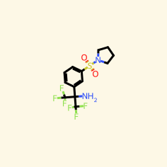 NC(c1cccc(S(=O)(=O)N2CCCC2)c1)(C(F)(F)F)C(F)(F)F